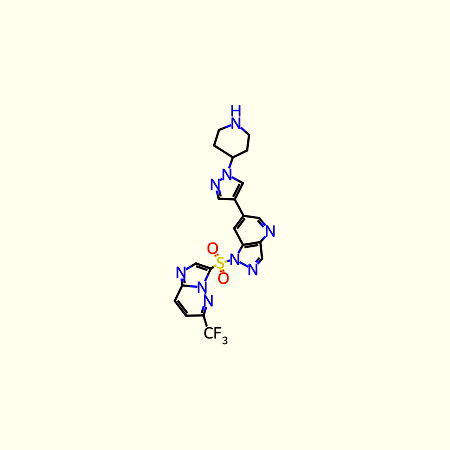 O=S(=O)(c1cnc2ccc(C(F)(F)F)nn12)n1ncc2ncc(-c3cnn(C4CCNCC4)c3)cc21